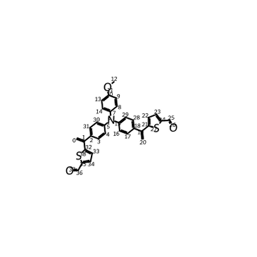 C=C(c1ccc(N(c2ccc(OC)cc2)c2ccc(C(=C)c3ccc(C=O)s3)cc2)cc1)c1ccc(C=O)s1